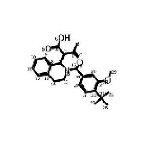 C=C(C)C(C(=O)O)C1c2ccccc2CCN1C(=O)c1ccc(C(C)(C)C)c(OC)c1